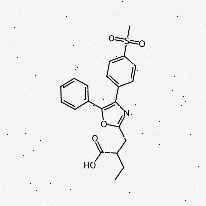 CCC(Cc1nc(-c2ccc(S(C)(=O)=O)cc2)c(-c2ccccc2)o1)C(=O)O